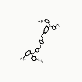 Cc1cccc(C(c2ccc(/C=C/c3ccc(/C=C/c4ccc(N(c5cccc(C)c5)c5cccc(C)c5)cc4)cc3)cc2)c2cccc(C)c2)c1